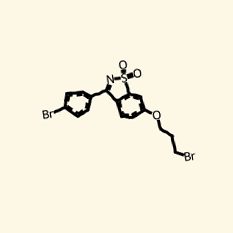 O=S1(=O)N=C(c2ccc(Br)cc2)c2ccc(OCCCBr)cc21